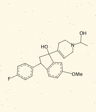 COc1ccc2c(c1)C(O)(C1=CCN(C(C)O)CC1)CC2c1ccc(F)cc1